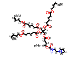 CCCC/C=C\CCOC(=O)CCCCC(=O)OCC(COC(=O)CCCCC(=O)OCC/C=C\CCCC)(COC(=O)CCCCC(=O)OCC/C=C\CCCC)COC(=O)CCC(CCCCCC)OC(=O)NCCN1CCCC1